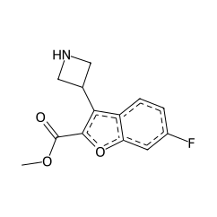 COC(=O)c1oc2cc(F)ccc2c1C1CNC1